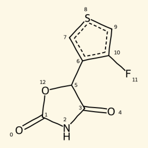 O=C1NC(=O)C(c2cscc2F)O1